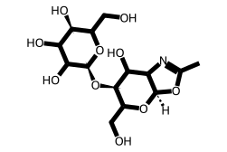 CC1=NC2C(O)[C@H](O[C@@H]3OC(CO)[C@H](O)C(O)C3O)C(CO)O[C@@H]2O1